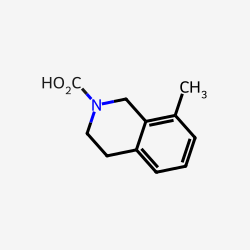 Cc1cccc2c1CN(C(=O)O)CC2